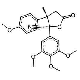 COc1ccc([C@]2(C)CC(=O)O[C@@]2(C#N)c2cc(OC)c(OC)c(OC)c2)cc1